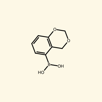 OB(O)c1cccc2c1COCO2